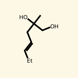 CCC=CCC(C)(O)CO